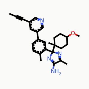 CC#Cc1cncc(-c2ccc(C)c(C3(C4(C)CCC(OC)CC4)N=C(C)C(N)=N3)c2)c1